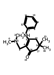 CN(C)CC1=C(Nc2ccccc2)CC(C)(C)CC1=O